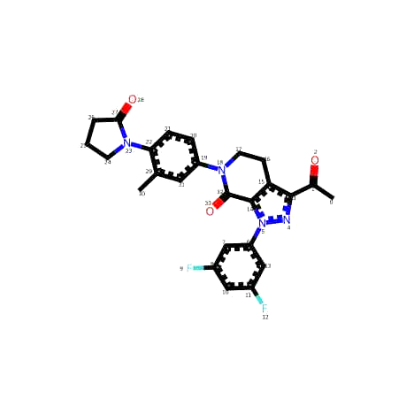 CC(=O)c1nn(-c2cc(F)cc(F)c2)c2c1CCN(c1ccc(N3CCCC3=O)c(C)c1)C2=O